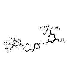 COC(=O)C(C)c1cc(C)cc(OCc2ccc(OC3CCN([C@H](OC)OC(C)(C)C)CC3)cc2)c1